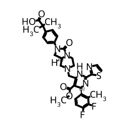 COC(=O)C1=C(CN2CCN3C(=O)N(c4ccc(C(C)(C)C(=O)O)cc4)C[C@@H]3C2)NC(c2nccs2)=N[C@H]1c1ccc(F)c(F)c1C